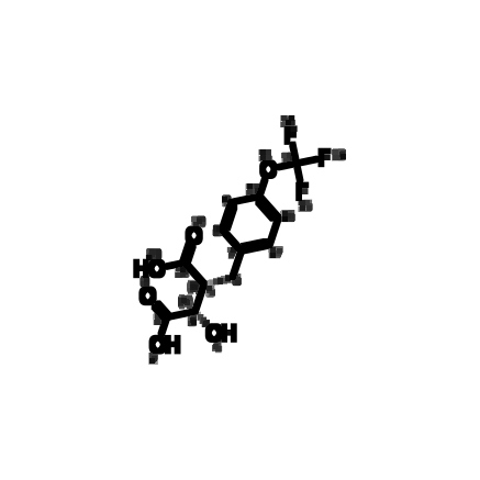 O=C(O)[C@@H](O)[C@@H](Cc1ccc(OC(F)(F)F)cc1)C(=O)O